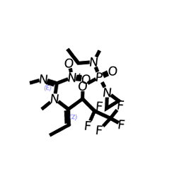 C/C=C(/C(OP(=O)(N(C)CC)N1CC1)C(F)(F)C(F)(F)F)N(C)/C(=N\C)[N+](=O)[O-]